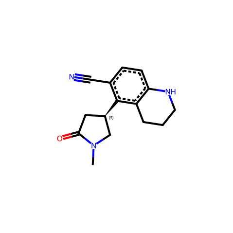 CN1C[C@H](c2c(C#N)ccc3c2CCCN3)CC1=O